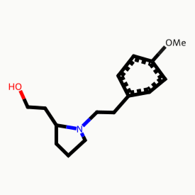 COc1ccc(CCN2CCCC2CCO)cc1